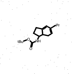 CC(C)C1=CCC2C(=C1)CCC2NC(=O)OC(C)(C)C